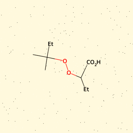 CCC(OOC(C)(C)CC)C(=O)O